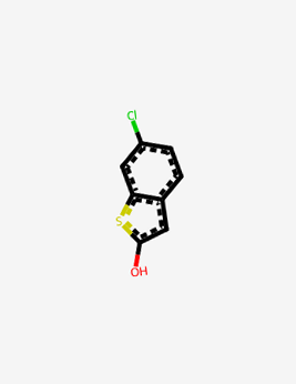 Oc1cc2ccc(Cl)cc2s1